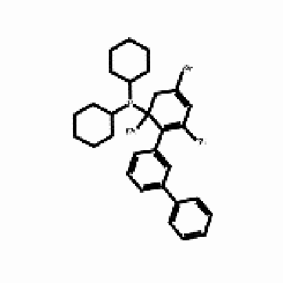 CC(C)C1=CC(C(C)C)=C(c2cccc(-c3ccccc3)c2)C(C(C)C)(P(C2CCCCC2)C2CCCCC2)C1